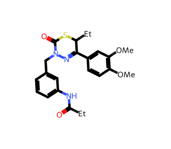 CCC(=O)Nc1cccc(CN2N=C(c3ccc(OC)c(OC)c3)C(CC)SC2=O)c1